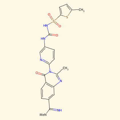 CNC(=N)c1ccc2c(=O)n(-c3ccc(NC(=O)NS(=O)(=O)c4ccc(C)s4)cn3)c(C)nc2c1